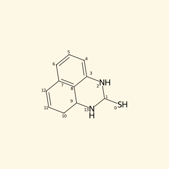 SC1Nc2cccc3c2C(CC=C3)N1